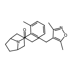 Cc1ccccc1C1CC2CCC(C1)N2C(=O)CCCc1c(C)noc1C